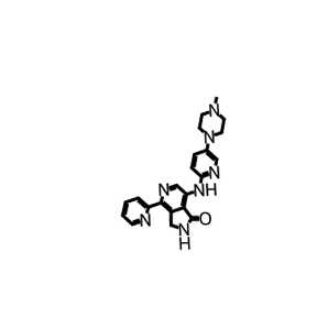 CN1CCN(c2ccc(Nc3cnc(-c4ccccn4)c4c3C(=O)NC4)nc2)CC1